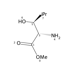 COC(=O)[C@@H](N)[C@@H](O)C(C)C